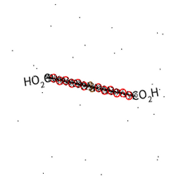 O=C(O)CCOCCOCCOCCOCCOCCOCCSSCCOCCOCCOCCOCCOCCOCCC(=O)O